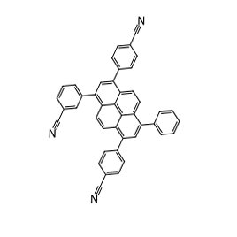 N#Cc1ccc(-c2cc(-c3ccccc3)c3ccc4c(-c5ccc(C#N)cc5)cc(-c5cccc(C#N)c5)c5ccc2c3c45)cc1